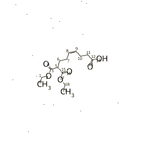 CCOC(=O)C(CC/C=C\CCC(=O)O)C(=O)OCC